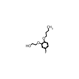 CCCCOc1ccc(F)cc1OCCO